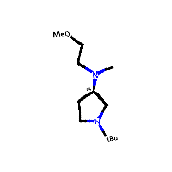 COCCN(C)[C@@H]1CCN(C(C)(C)C)C1